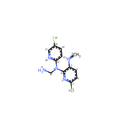 C=Nc1ccc(Cl)nc1N(CN)c1ccc(F)cn1